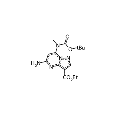 CCOC(=O)c1cnn2c(N(C)C(=O)OC(C)(C)C)cc(N)nc12